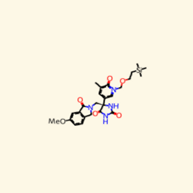 COc1ccc2c(c1)C(=O)N(C[C@@]1(c3cc(C)c(=O)n(COCC[Si](C)(C)C)c3)NC(=O)NC1=O)C2